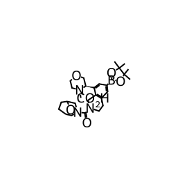 CC1(C)OB(c2cc3c(c([C@@H]4COCCN4C(=O)O)c2)CN(C(=O)N2CC4CCC(C2)O4)CC3)OC1(C)C